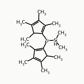 CC1=C(C)C(C)[C]([Zr]([C]2=C(C)C(C)=C(C)C2C)[SiH](C)C)=C1C